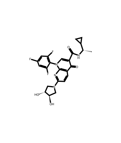 C[C@H](NC(=O)c1cn(-c2c(F)cc(F)cc2F)c2nc(N3C[C@@H](O)[C@H](O)C3)ccc2c1=O)C1CC1